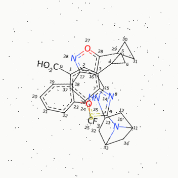 O=C(O)c1cc(C2CC2)c2nc(N3C4CC(NCc5c(-c6ccccc6OC(F)(F)F)noc5C5CC5)CC3C4)sc2c1